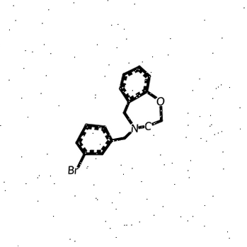 Brc1cccc(CN2CCOc3ccccc3C2)c1